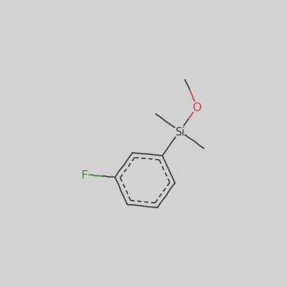 CO[Si](C)(C)c1cccc(F)c1